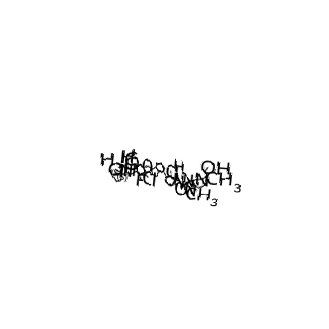 COc1cc(OC2CCc3c(-c4cccc(NC(=O)c5nc6c(n5C)CCN(C(C)CO)C6)c4Cl)cccc32)c(Cl)c(F)c1CN[C@H]1CCC[C@@H]1O